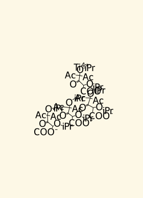 CC(=O)C(OC(C)C)(C(C)=O)C(=O)C(OC(C)C)C(=O)[O-].CC(=O)C(OC(C)C)(C(C)=O)C(=O)C(OC(C)C)C(=O)[O-].CC(=O)C(OC(C)C)(C(C)=O)C(=O)C(OC(C)C)C(=O)[O-].CC(=O)C(OC(C)C)(C(C)=O)C(=O)C(OC(C)C)C(=O)[O-].[Ti+4]